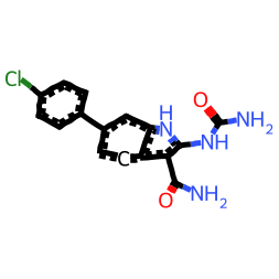 NC(=O)Nc1[nH]c2cc(-c3ccc(Cl)cc3)ccc2c1C(N)=O